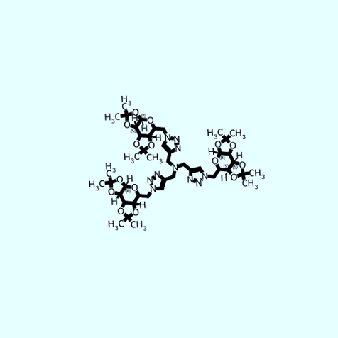 CC1(C)OC2[C@H](OC(Cn3cc(CN(Cc4cn(CC5O[C@@H]6OC(C)(C)O[C@H]6C6OC(C)(C)O[C@@H]56)nn4)Cc4cn(CC5O[C@@H]6OC(C)(C)O[C@H]6C6OC(C)(C)O[C@@H]56)nn4)nn3)[C@@H]3OC(C)(C)O[C@H]23)O1